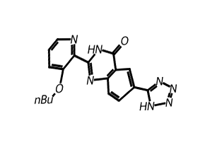 CCCCOc1cccnc1-c1nc2ccc(-c3nnn[nH]3)cc2c(=O)[nH]1